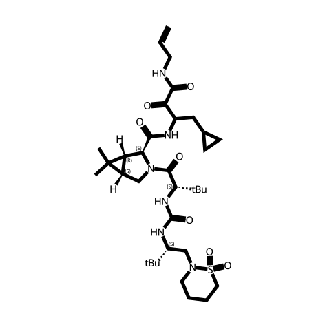 C=CCNC(=O)C(=O)C(CC1CC1)NC(=O)[C@@H]1[C@@H]2[C@H](CN1C(=O)[C@@H](NC(=O)N[C@H](CN1CCCCS1(=O)=O)C(C)(C)C)C(C)(C)C)C2(C)C